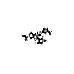 C=CC(=O)N1CCC(F)C(Oc2nc(Nc3cnn(CC)c3)nc3[nH]cc(Cl)c23)C1